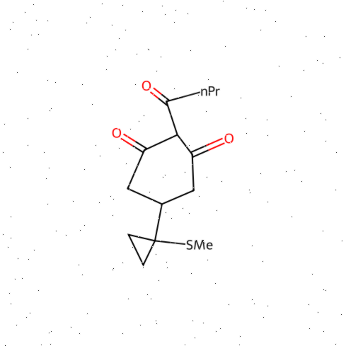 CCCC(=O)C1C(=O)CC(C2(SC)CC2)CC1=O